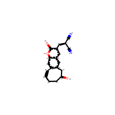 N#CC(C#N)=Cc1cc2cc3c(cc2oc1=O)C#CCCC(=O)C3